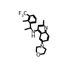 Cc1cc(NC(C)c2cccc(C(F)(F)F)c2C)c2cc(N3CCOCC3)ccc2n1